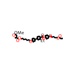 C=CC(=O)OCCCCOc1ccc(OC(=O)c2ccc(-c3ccc(OCCCCCCOC(=O)C(=C)CC(=O)OC)cc3)cc2CC)cc1